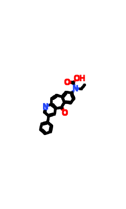 CCN(C(=O)O)c1ccc2c(=O)c3cc(-c4ccccc4)cnc3ccc2c1